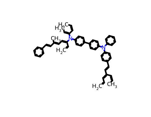 C=C/C=C(\C=C/C)/C=C/c1ccc(N(c2ccccc2)c2ccc(-c3ccc(N(/C(C=C)=C/C=C(C)/C=C/c4ccccc4)C(/C=C\C)=C/C)cc3)cc2)cc1